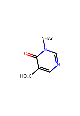 CC(=O)Nn1cncc(C(=O)O)c1=O